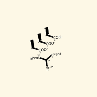 C=CC(=O)[O-].C=CC(=O)[O-].C=CC(=O)[O-].CCCCC[CH]([Sn+3])CCCCC